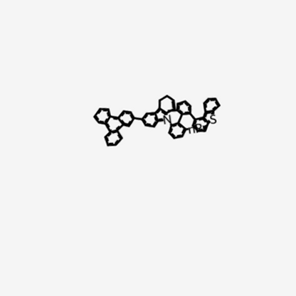 CCCc1cccc(-n2c3c(c4cc(-c5ccc6c7ccccc7c7ccccc7c6c5)ccc42)CCC=C3)c1-c1c(C)cccc1-c1cccc2sc3ccccc3c12